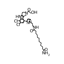 NC(=O)CCCCCCCCCCC(=O)NCCn1ccc(-c2cc(Cl)c(Cl)c3[nH]c4c(c23)CN(C(=O)CO)CC4)n1